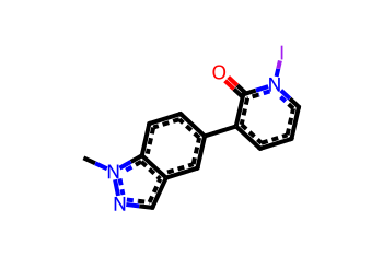 Cn1ncc2cc(-c3cccn(I)c3=O)ccc21